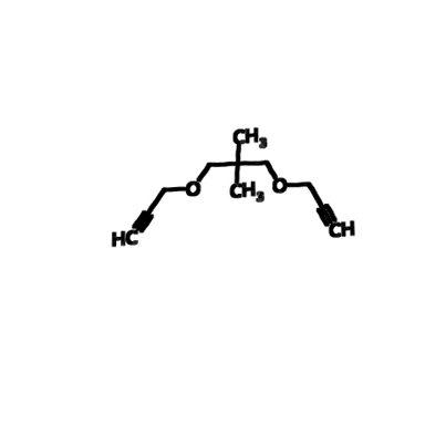 C#CCOCC(C)(C)COCC#C